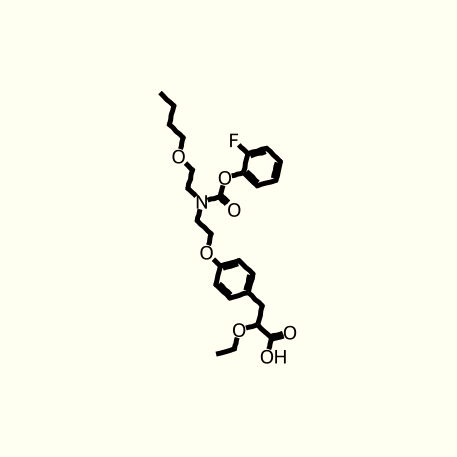 CCCCOCCN(CCOc1ccc(CC(OCC)C(=O)O)cc1)C(=O)Oc1ccccc1F